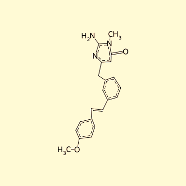 COc1ccc(C=Cc2cccc(Cc3cc(=O)n(C)c(N)n3)c2)cc1